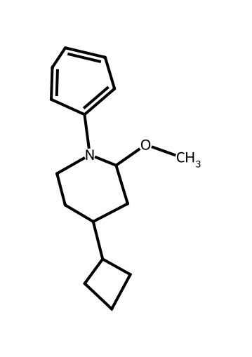 COC1CC(C2CCC2)CCN1c1ccccc1